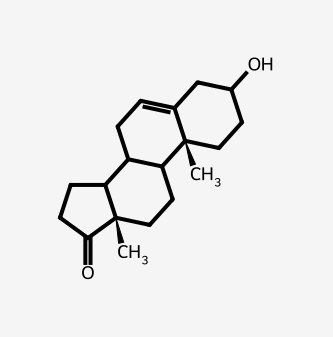 C[C@]12CCC(O)CC1=CCC1C2CC[C@]2(C)C(=O)CCC12